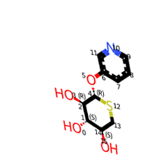 O[C@@H]1[C@@H](O)[C@H](Oc2cccnc2)SC[C@H]1O